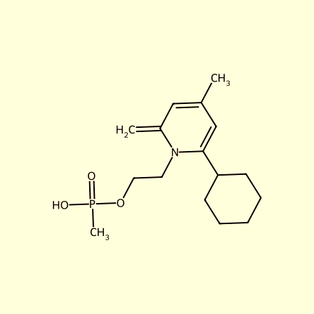 C=C1C=C(C)C=C(C2CCCCC2)N1CCOP(C)(=O)O